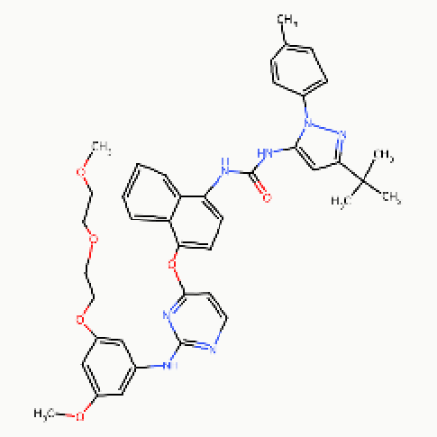 COCCOCCOc1cc(Nc2nccc(Oc3ccc(NC(=O)Nc4cc(C(C)(C)C)nn4-c4ccc(C)cc4)c4ccccc34)n2)cc(OC)c1